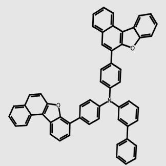 c1ccc(-c2cccc(N(c3ccc(-c4cccc5c4oc4ccc6ccccc6c45)cc3)c3ccc(-c4cc5ccccc5c5c4oc4ccccc45)cc3)c2)cc1